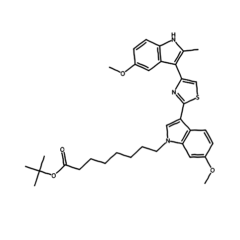 COc1ccc2[nH]c(C)c(-c3csc(-c4cn(CCCCCCCC(=O)OC(C)(C)C)c5cc(OC)ccc45)n3)c2c1